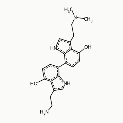 CN(C)CCc1c[nH]c2c(-c3ccc(O)c4c(CCN)c[nH]c34)ccc(O)c12